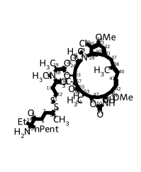 CCCCCC(N)(CC)C(=O)CCC(C)SSCCC(=O)N(C)[C@@H](C)C(=O)O[C@H]1CC(=O)N(C)c2cc(cc(OC)c2Cl)C/C(C)=C/C=C/[C@@H](OC)[C@@]2(O)CC(OC(=O)N2)[C@@H](C)[C@@H]2O[C@@]12C